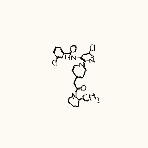 CC1CCCCN1C(=O)CC1CCN(c2ncc(Cl)cc2NC(=O)c2cccc(Cl)c2)CC1